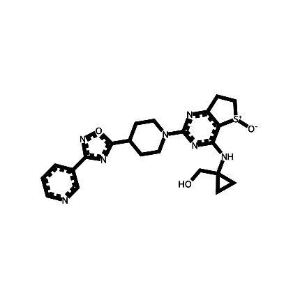 [O-][S+]1CCc2nc(N3CCC(c4nc(-c5cccnc5)no4)CC3)nc(NC3(CO)CC3)c21